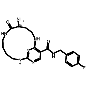 N[C@H]1CCNc2nc(ncc2C(=O)NCc2ccc(F)cc2)NCCCCNC1=O